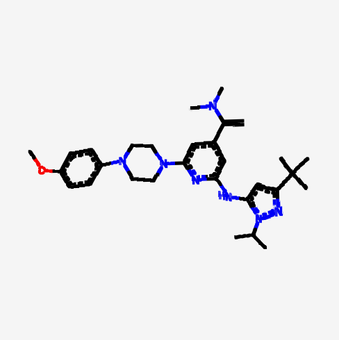 C=C(c1cc(Nc2cc(C(C)(C)C)nn2C(C)C)nc(N2CCN(c3ccc(OC)cc3)CC2)c1)N(C)C